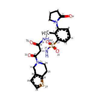 Cc1c(N2CCCC2=O)cccc1S(=O)(=O)N[C@@H](C(N)=O)C(=O)N1CCc2sccc2C1